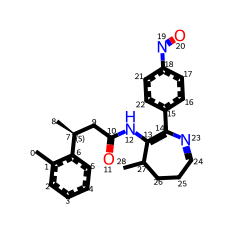 Cc1ccccc1[C@@H](C)CC(=O)NC1=C(c2ccc(N=O)cc2)N=CCCC1C